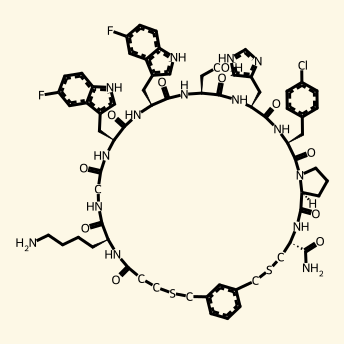 NCCCC[C@@H]1NC(=O)CCSCc2cccc(c2)CSC[C@@H](C(N)=O)NC(=O)[C@@H]2CCCN2C(=O)[C@H](Cc2ccc(Cl)cc2)NC(=O)[C@H](Cc2c[nH]cn2)NC(=O)[C@H](CC(=O)O)NC(=O)[C@H](Cc2c[nH]c3ccc(F)cc23)NC(=O)[C@H](Cc2c[nH]c3ccc(F)cc23)NC(=O)CNC1=O